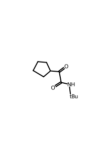 CC(C)(C)NC(=O)C(=O)C1CCCC1